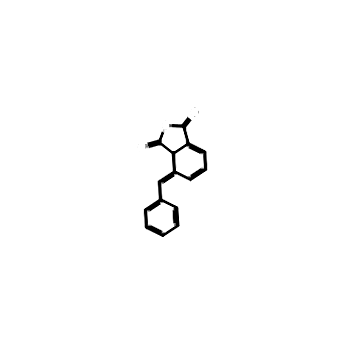 O=C1OC(=O)C2C(=Cc3ccccc3)C=CC=C12